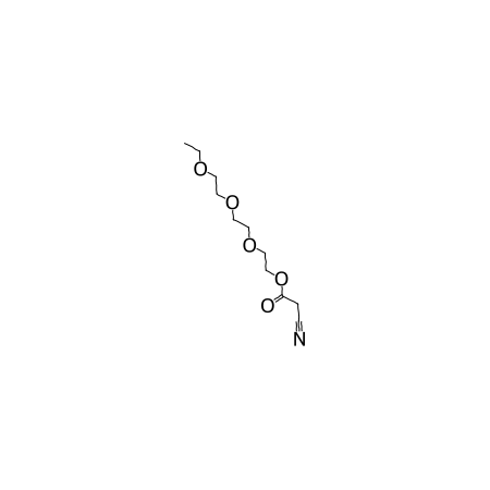 CCOCCOCCOCCOC(=O)CC#N